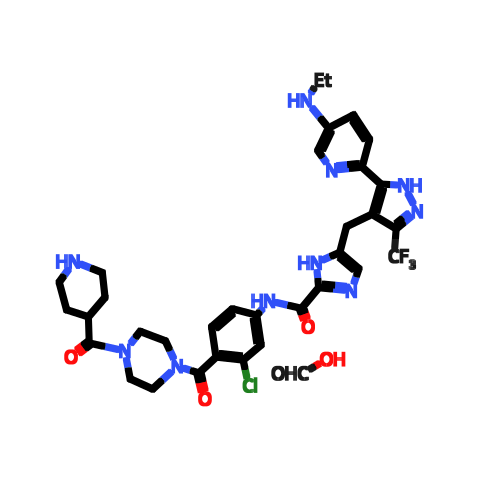 CCNc1ccc(-c2[nH]nc(C(F)(F)F)c2Cc2cnc(C(=O)Nc3ccc(C(=O)N4CCN(C(=O)C5CCNCC5)CC4)c(Cl)c3)[nH]2)nc1.O=CO